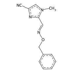 Cn1cc(C#N)nc1C=NOCc1ccccc1